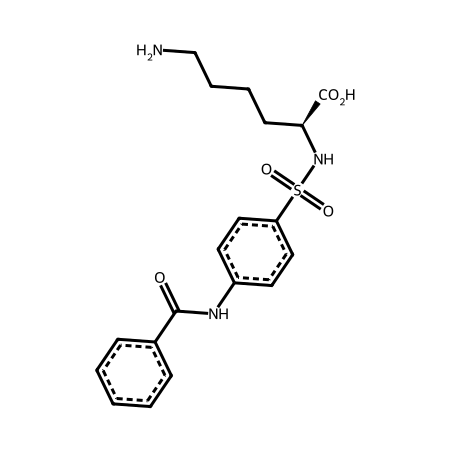 NCCCC[C@H](NS(=O)(=O)c1ccc(NC(=O)c2ccccc2)cc1)C(=O)O